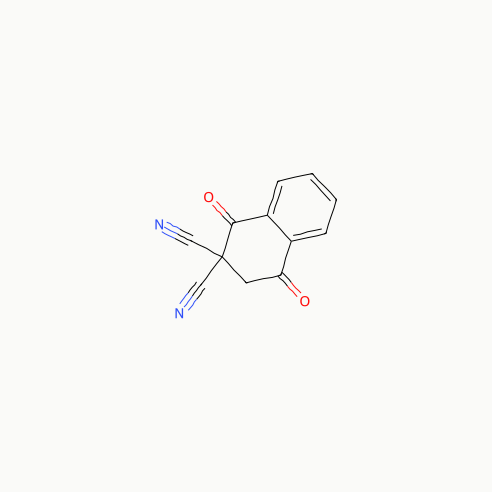 N#CC1(C#N)CC(=O)c2ccccc2C1=O